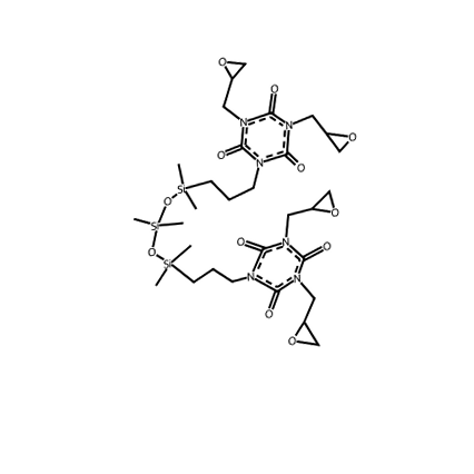 C[Si](C)(CCCn1c(=O)n(CC2CO2)c(=O)n(CC2CO2)c1=O)O[Si](C)(C)O[Si](C)(C)CCCn1c(=O)n(CC2CO2)c(=O)n(CC2CO2)c1=O